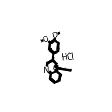 COc1ccc(C2CN=C3C=CC=CC34SC(C)CC24)cc1OC.Cl